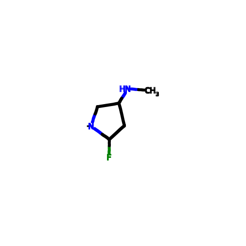 CNC1C[N]C(F)C1